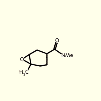 CNC(=O)C1CCC2(C)OC2C1